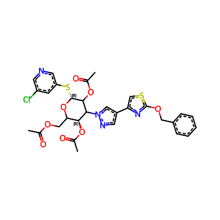 CC(=O)OCC1O[C@H](Sc2cncc(Cl)c2)C(OC(C)=O)C(n2cc(-c3csc(OCc4ccccc4)n3)cn2)[C@H]1OC(C)=O